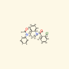 CC(=O)N(c1ccccc1)[C@H]1C[C@@H](C)N(C(=O)c2ccccc2Cl)c2ccccc21